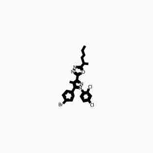 CCCCC(C)c1nnc(-c2nn(-c3ccc(Cl)cc3Cl)c(-c3ccc(Br)cc3)c2C)o1